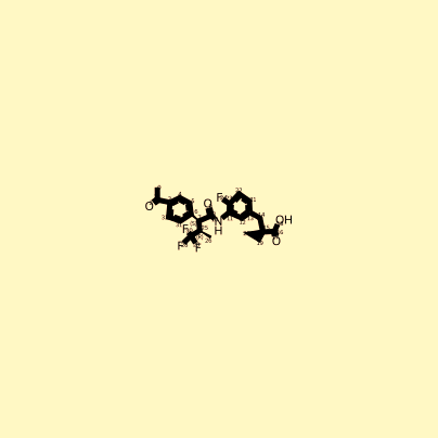 CC(=O)c1ccc([C@@H](C(=O)Nc2cc(CC3(C(=O)O)CC3)ccc2F)[C@@H](C)C(F)(F)F)cc1